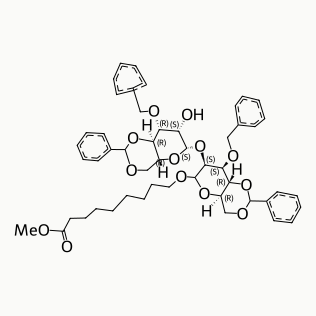 COC(=O)CCCCCCCCOC1O[C@@H]2COC(c3ccccc3)O[C@H]2[C@H](OCc2ccccc2)[C@@H]1O[C@@H]1O[C@@H]2COC(c3ccccc3)O[C@H]2[C@H](OCc2ccccc2)[C@@H]1O